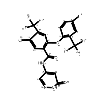 [2H]C([2H])([2H])c1cc(F)ccc1Oc1cc(C(F)(F)F)c(Cl)cc1C(=O)Nc1cn[nH]c(=O)c1